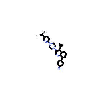 CC(C)c1ccc(N2CCN(c3cnc4c(-c5ccc(N)cc5)cccc4c3C3CC3)CC2)nc1